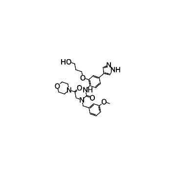 COc1cccc(CN(CC(=O)N2CCOCC2)C(=O)Nc2ccc(-c3cn[nH]c3)cc2OCCCO)c1